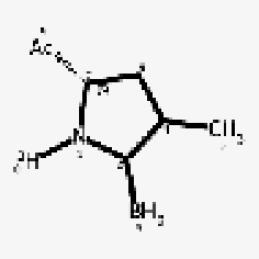 [2H]N1C(B)C(C)C[C@H]1C(C)=O